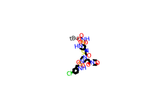 CC(C)(C)OC(=O)NS(=O)(=O)C1Cc2nc(C(=O)N3CCN(S(=O)(=O)c4cc5cc(Cl)ccc5[nH]4)CC3CC(=O)N3CCOCC3)sc2CN1